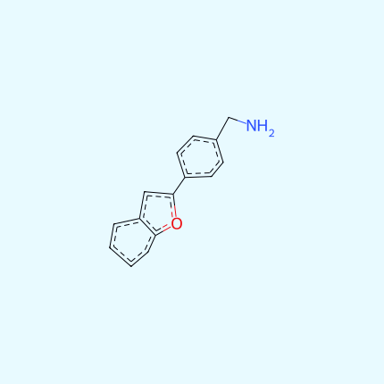 NCc1ccc(-c2cc3ccccc3o2)cc1